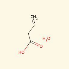 C=CCC(=O)O.O